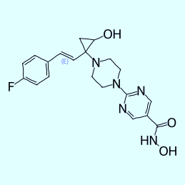 O=C(NO)c1cnc(N2CCN(C3(/C=C/c4ccc(F)cc4)CC3O)CC2)nc1